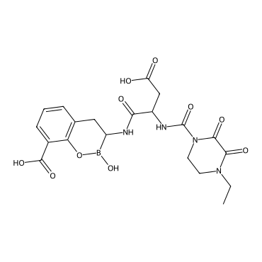 CCN1CCN(C(=O)NC(CC(=O)O)C(=O)NC2Cc3cccc(C(=O)O)c3OB2O)C(=O)C1=O